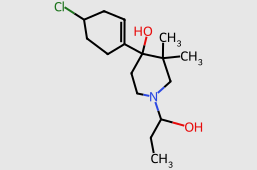 CCC(O)N1CCC(O)(C2=CCC(Cl)CC2)C(C)(C)C1